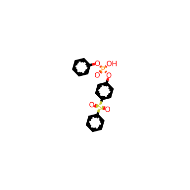 O=P(O)(Oc1ccccc1)Oc1ccc(S(=O)(=O)c2ccccc2)cc1